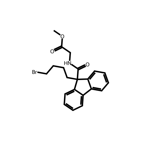 COC(=O)CNC(=O)C1(CCCCBr)c2ccccc2-c2ccccc21